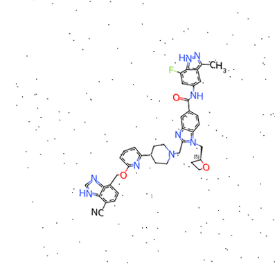 Cc1n[nH]c2c(F)cc(NC(=O)c3ccc4c(c3)nc(CN3CCC(c5cccc(OCc6ccc(C#N)c7[nH]cnc67)n5)CC3)n4C[C@@H]3CCO3)cc12